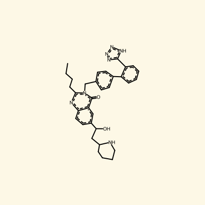 CCCCc1nc2ccc(C(O)CC3CCCCN3)cc2c(=O)n1Cc1ccc(-c2ccccc2-c2nnn[nH]2)cc1